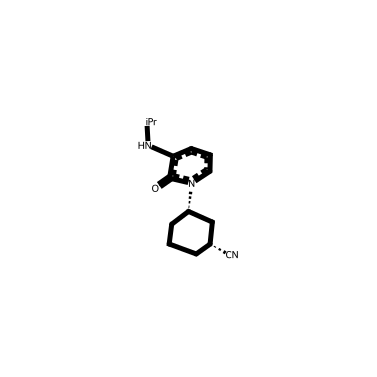 CC(C)Nc1cccn([C@H]2CCC[C@@H](C#N)C2)c1=O